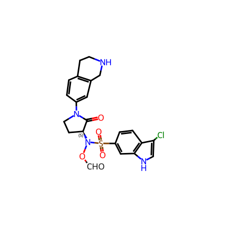 O=CON([C@H]1CCN(c2ccc3c(c2)CNCC3)C1=O)S(=O)(=O)c1ccc2c(Cl)c[nH]c2c1